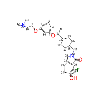 CC(Oc1cccc(OCCN(C)C)c1)C1CCC(CN2Cc3ccc(O)c(F)c3C2=O)CC1